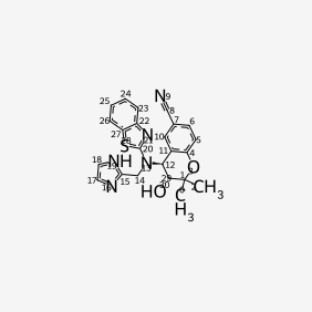 CC1(C)Oc2ccc(C#N)cc2[C@H](N(Cc2ncc[nH]2)c2nc3ccccc3s2)[C@H]1O